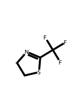 FC(F)(F)C1=N[CH]CS1